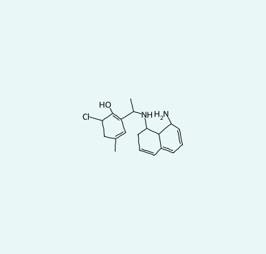 CC1=CC(C(C)NC2CC=CC3=CC=CC(N)C32)=C(O)C(Cl)C1